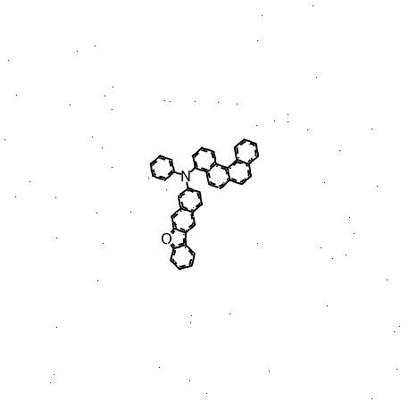 c1ccc(N(c2ccc3cc4c(cc3c2)oc2ccccc24)c2cccc3c2ccc2ccc4ccccc4c23)cc1